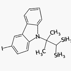 CC(C)(C([SiH3])[SiH3])n1c2ccccc2c2cc(I)ccc21